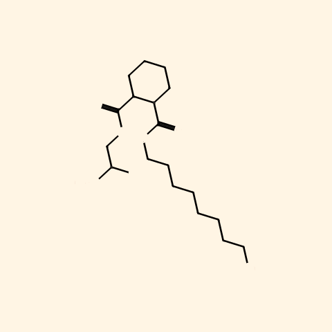 CCCCCC(CCC)COC(=O)C1CCCCC1C(=O)OCCCCCCCCC(C)C